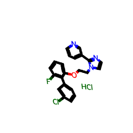 Cl.Fc1cccc(OCCn2ccnc2-c2cccnc2)c1-c1cccc(Cl)c1